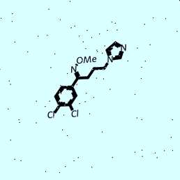 CON=C(CCCn1ccnc1)c1ccc(Cl)c(Cl)c1